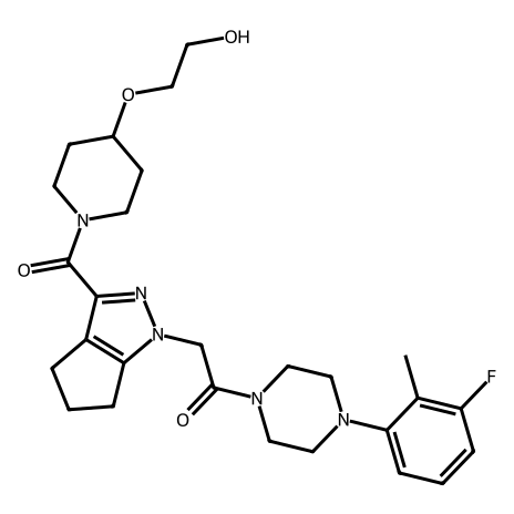 Cc1c(F)cccc1N1CCN(C(=O)Cn2nc(C(=O)N3CCC(OCCO)CC3)c3c2CCC3)CC1